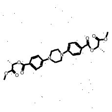 COC(=O)[C@H](C)OC(=O)c1ccc(N2CCN(c3ccc(C(=O)O[C@@H](C)C(=O)OC)cc3)CC2)cc1